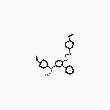 C=Cc1ccc(OCOc2ccc(C(OO)c3ccc(C=C)cc3)cc2-c2ccccc2)cc1